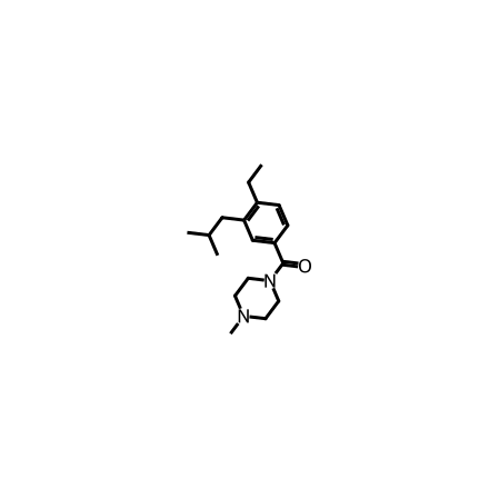 CCc1ccc(C(=O)N2CCN(C)CC2)cc1CC(C)C